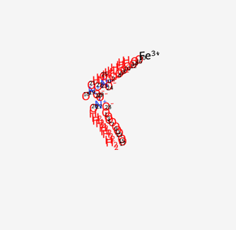 O.O.O.O.O.O.O.O.O.O.O.O.O.O.O.O.O.O.O=[N+]([O-])[O-].O=[N+]([O-])[O-].O=[N+]([O-])[O-].[Fe+3]